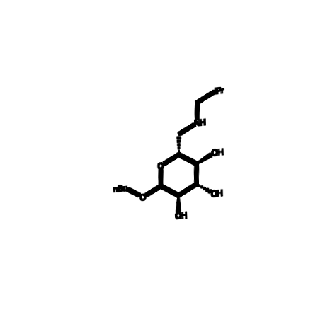 CCCCOC1O[C@H](CNCC(C)C)[C@@H](O)[C@H](O)[C@H]1O